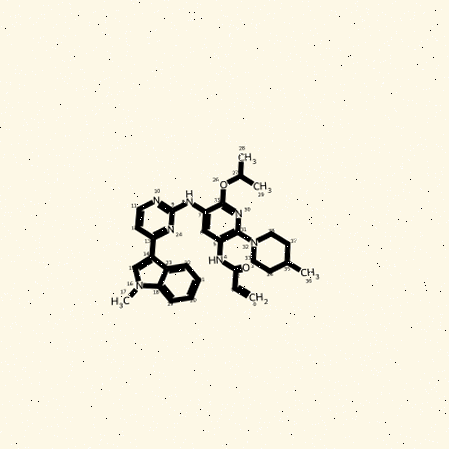 C=CC(=O)Nc1cc(Nc2nccc(-c3cn(C)c4ccccc34)n2)c(OC(C)C)nc1N1CCC(C)CC1